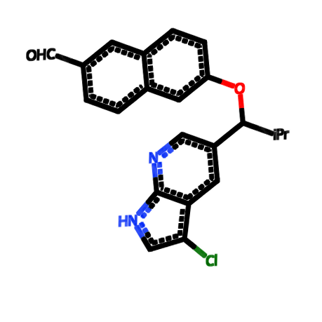 CC(C)C(Oc1ccc2cc(C=O)ccc2c1)c1cnc2[nH]cc(Cl)c2c1